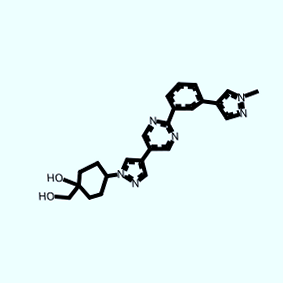 Cn1cc(-c2cccc(-c3ncc(-c4cnn(C5CCC(O)(CO)CC5)c4)cn3)c2)cn1